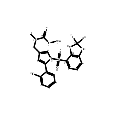 CN(Cc1cc(-c2ccccc2F)n(S(=O)(=O)c2cccc3c2OC(F)(F)O3)c1)C(=O)OC(C)(C)C